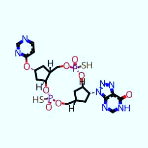 O=c1[nH]cnc2c1nnn2[C@@H]1C[C@@H]2COP(=O)(S)O[C@H]3C[C@H](Oc4ccncn4)C[C@@H]3COP(=O)(S)O[C@@H]1C2